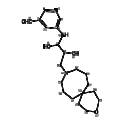 O=Cc1cncc(NC(O)C(O)CN2CCCC3(CCC2)CCOCC3)c1